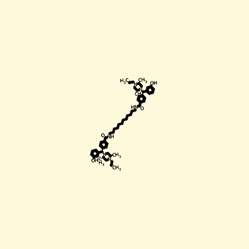 C=CCN1C[C@H](C)N([C@H](c2ccc(C(=O)NCCCCCCCCCCCCNC(=O)c3ccc([C@H](c4cccc(O)c4)N4C[C@@H](C)N(CC=C)C[C@@H]4C)cc3)cc2)c2cccc(O)c2)C[C@H]1C